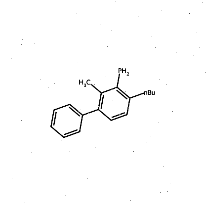 CCCCc1ccc(-c2ccccc2)c(C)c1P